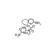 BC(=O)N=C1N[C@@]2(CCCCc3ccc(N)cc32)CS(=O)(=O)N1C